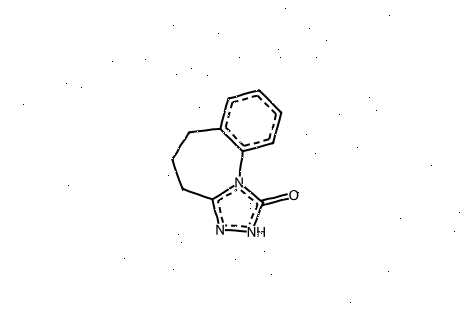 O=c1[nH]nc2n1-c1ccccc1CCC2